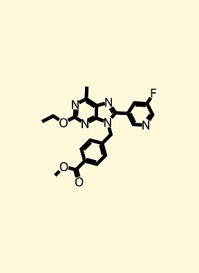 CCOc1nc(C)c2nc(-c3cncc(F)c3)n(Cc3ccc(C(=O)OC)cc3)c2n1